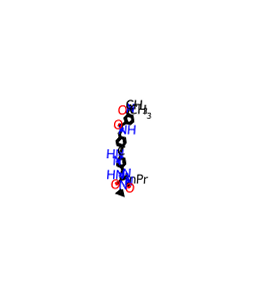 CCCn1c(=O)n(C2CC2)c(=O)c2[nH]c(-c3ccc(NCc4ccc(CNC(=O)c5cccc(C(=O)N(C)C)c5)cc4)nc3)nc21